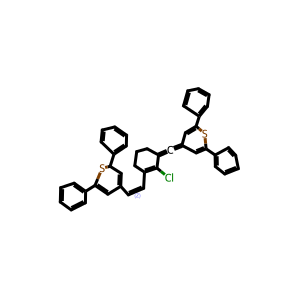 ClC1=C(/C=C\C2=CC(c3ccccc3)SC(c3ccccc3)=C2)CCCC1=C=C1C=C(c2ccccc2)SC(c2ccccc2)=C1